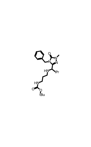 CC(C)C(NCCCNC(=O)OC(C)(C)C)c1nn(C)c(=O)n1Cc1ccccc1